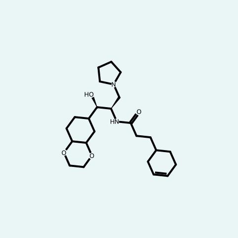 O=C(CCC1CC=CCC1)N[C@H](CN1CCCC1)[C@H](O)C1CCC2OCCOC2C1